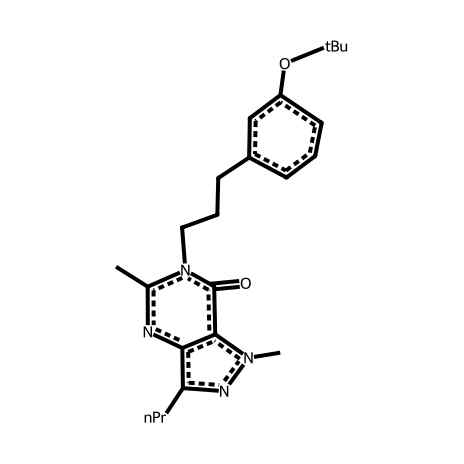 CCCc1nn(C)c2c(=O)n(CCCc3cccc(OC(C)(C)C)c3)c(C)nc12